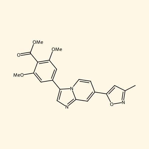 COC(=O)c1c(OC)cc(-c2cnc3cc(-c4cc(C)no4)ccn23)cc1OC